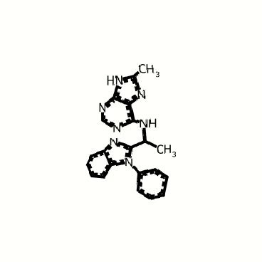 Cc1nc2c(NC(C)c3nc4ccccc4n3-c3ccccc3)ncnc2[nH]1